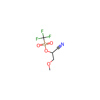 COCC(C#N)OS(=O)(=O)C(F)(F)F